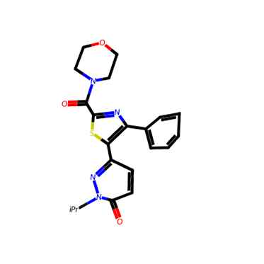 CC(C)n1nc(-c2sc(C(=O)N3CCOCC3)nc2-c2ccccc2)ccc1=O